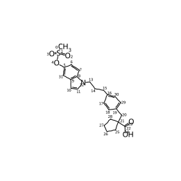 CS(=O)(=O)Oc1ccc2c(ccn2CCCc2ccc(CC3(C(=O)O)CCCC3)cc2)c1